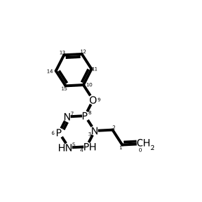 C=CCn1[pH][nH]pnp1Oc1ccccc1